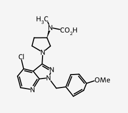 COc1ccc(Cn2nc(N3CC[C@@H](N(C)C(=O)O)C3)c3c(Cl)ccnc32)cc1